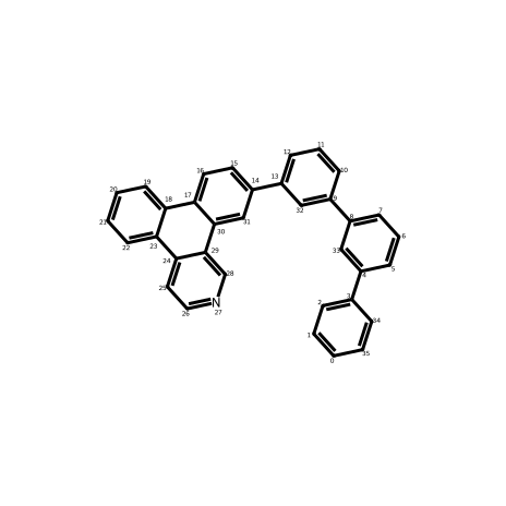 c1ccc(-c2cccc(-c3cccc(-c4ccc5c6ccccc6c6ccncc6c5c4)c3)c2)cc1